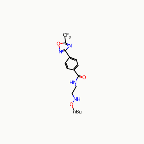 CCCCONCCNC(=O)c1ccc(-c2noc(C(F)(F)F)n2)cc1